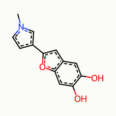 Cn1ccc(-c2cc3cc(O)c(O)cc3o2)c1